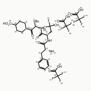 CCCCC(NC(=O)[C@@H](CC(C)(C)F)NC(=O)[C@H](N)Cc1ccccc1)C(=O)N1CCC(C(=O)O)CC1.O=C(O)C(F)(F)F.O=C(O)C(F)(F)F.O=C(O)C(F)(F)F